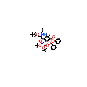 CCCNC(CO[Si](C)(C)C(C)(C)C)Cc1c(F)c(C)c(C(=O)Oc2ccccc2)c(OCc2ccccc2)c1N(C(=O)OC(C)(C)C)C(=O)OC(C)(C)C